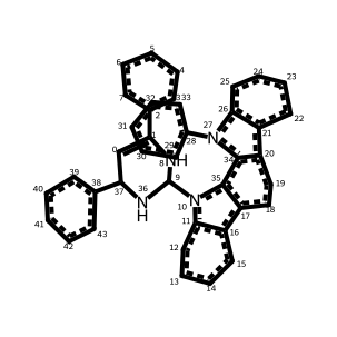 C1=C(c2ccccc2)NC(n2c3ccccc3c3ccc4c5ccccc5n(-c5ccccc5)c4c32)NC1c1ccccc1